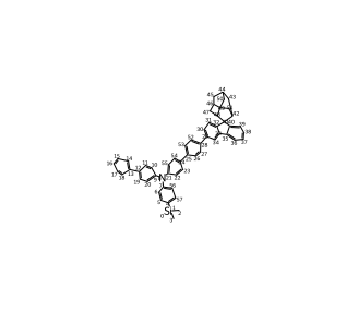 C[Si](C)(C)c1ccc(N(c2ccc(-c3ccccc3)cc2)c2ccc(-c3ccc(-c4ccc5c(c4)-c4ccccc4C54C5CC6CC7CC4C7(C6)C5)cc3)cc2)cc1